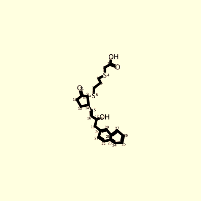 O=C(O)CSCCCS[C@H]1C(=O)CC[C@@H]1/C=C/C(O)Cc1ccc2ccccc2c1